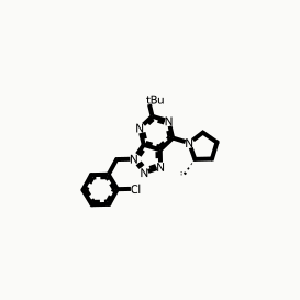 [CH][C@H]1CCCN1c1nc(C(C)(C)C)nc2c1nnn2Cc1ccccc1Cl